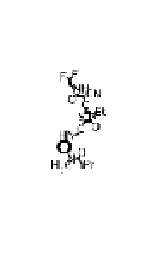 CCn1c(=C=C(C#N)C(=O)NCC(F)F)sc(=C=CNc2cccc(N(C)C(=O)C(C)C)c2)c1=O